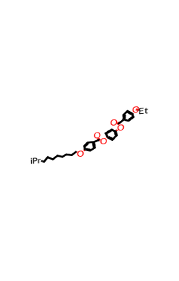 CCOc1ccc(C(=O)Oc2ccc(OC(=O)c3ccc(OCCCCCCCCC(C)C)cc3)cc2)cc1